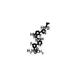 CS(=O)(=O)C(N)c1cc(F)cc(-c2nccc3[nH]c(-c4n[nH]c5ccc(-c6cncc(NC(=O)C7CC7)c6)c(F)c45)nc23)c1